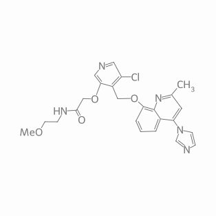 COCCNC(=O)COc1cncc(Cl)c1COc1cccc2c(-n3ccnc3)cc(C)nc12